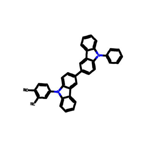 N#Cc1ccc(-n2c3ccccc3c3cc(-c4ccc5c(c4)c4ccccc4n5-c4ccccc4)ccc32)cc1C#N